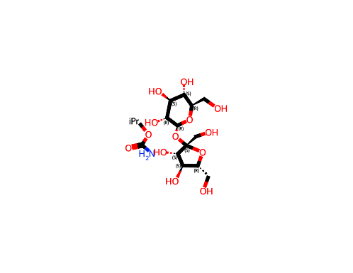 CC(C)OC(N)=O.OC[C@H]1O[C@@](CO)(O[C@H]2O[C@H](CO)[C@@H](O)[C@H](O)[C@H]2O)[C@@H](O)[C@@H]1O